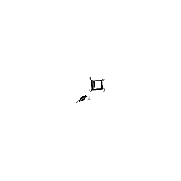 C1=CCC1.C=C